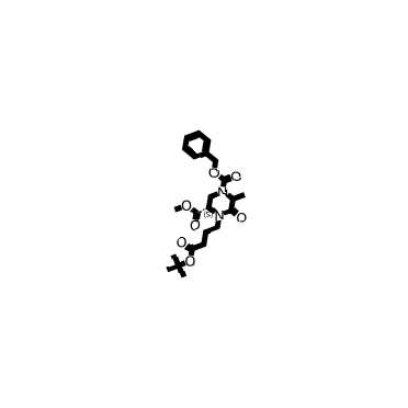 COC(=O)[C@@H]1CN(C(=O)OCc2ccccc2)C(C)C(=O)N1CCCC(=O)OC(C)(C)C